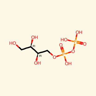 O=P(O)(O)OP(=O)(O)OC[C@@H](O)[C@H](O)CO